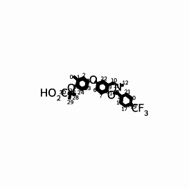 Cc1cc(Oc2cccc(CN(C)C(=O)C3=CCC(C(F)(F)F)C=C3)c2)ccc1OC(C)(C)C(=O)O